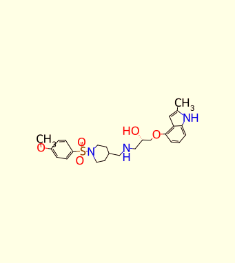 COc1ccc(S(=O)(=O)N2CCC(CNC[C@H](O)COc3cccc4[nH]c(C)cc34)CC2)cc1